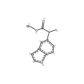 CN(C(=O)OC(C)(C)C)c1ccc2occc2c1